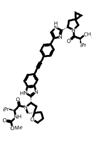 COC(=O)N[C@H](C(=O)N1C[C@@]2(CCCO2)C[C@H]1c1nc2cc(C#Cc3ccc(-c4c[nH]c([C@@H]5CC6(CC6)CN5C(=O)[C@@H](C)C(C)C)n4)cc3)ccc2[nH]1)C(C)C